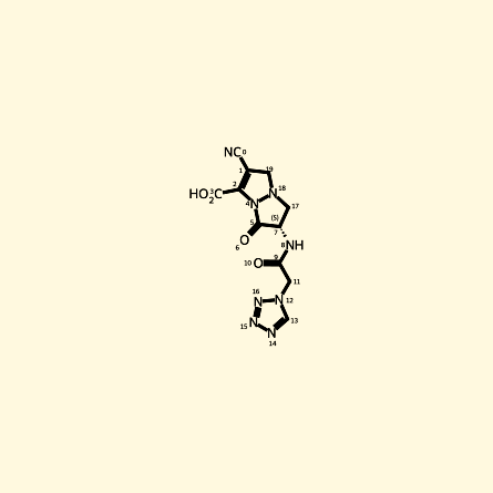 N#CC1=C(C(=O)O)N2C(=O)[C@@H](NC(=O)Cn3cnnn3)CN2C1